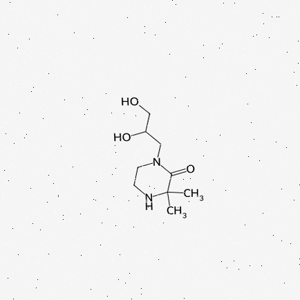 CC1(C)NCCN(CC(O)CO)C1=O